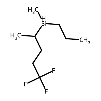 CCC[SiH](C)C(C)CCC(F)(F)F